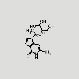 C[C@@H](O[C@H](CO)C(O)O)n1cnc2c(=O)[nH]c(N)nc21